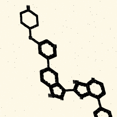 c1cncc(-c2ccnc3[nH]c(-c4n[nH]c5ccc(-c6cncc(OC7CCNCC7)c6)cc45)nc23)c1